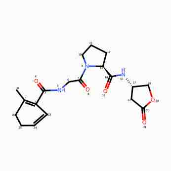 CC1=C(C(=O)NCC(=O)N2CCC[C@H]2C(=O)N[C@@H]2COC(=O)C2)C=CCC1